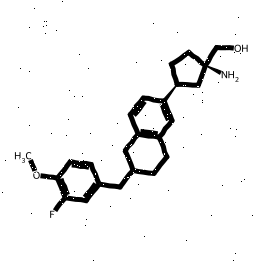 COc1ccc(CC2CCc3cc([C@H]4CC[C@](N)(CO)C4)ccc3C2)cc1F